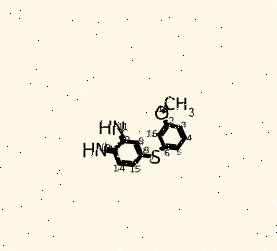 COc1cccc(SC2=CC(=N)C(=N)C=C2)c1